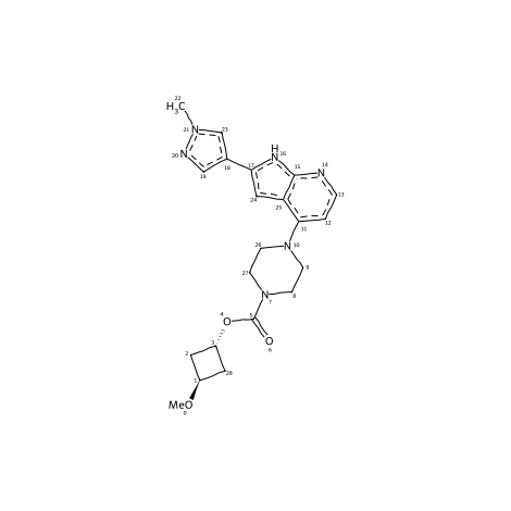 CO[C@H]1C[C@H](OC(=O)N2CCN(c3ccnc4[nH]c(-c5cnn(C)c5)cc34)CC2)C1